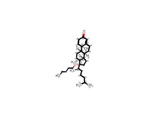 CCCCCO[C@@]1([C@H](C)CCCC(C)C)CC[C@H]2[C@@H]3CCC4=CC(=O)CC[C@]4(C)[C@H]3CC[C@@]21C